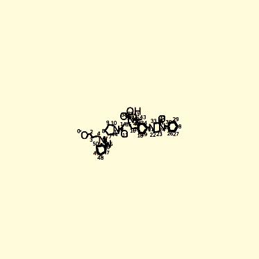 COCCCn1c([C@@H]2CCCN(C(=O)C[C@@H](Cc3ccc(N4CCN(c5ccccc5)C(=O)C4)cc3)N(C(=O)O)C(C)(C)C)C2)nc2ccccc21